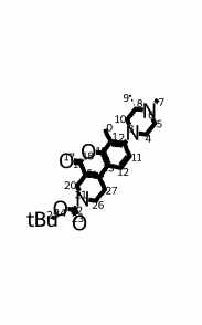 Cc1c(N2CCN(C)[C@@H](C)C2)ccc2c3c(c(=O)oc12)CN(C(=O)OC(C)(C)C)CC3